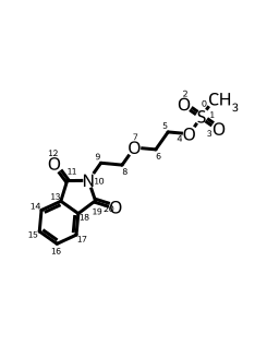 CS(=O)(=O)OCCOCCN1C(=O)c2ccccc2C1=O